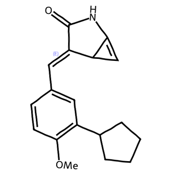 COc1ccc(/C=C2/C(=O)NC3=CC32)cc1C1CCCC1